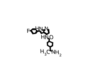 C[C@@H](N)C1CCC(C(=O)Nc2ccnc3[nH]c(-c4ccc(F)cc4)cc23)CC1